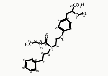 CCOC(Cc1ccc(OCCN(CCCc2ccccc2)C(=O)NCC(F)(F)F)cc1)C(=O)O